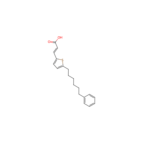 O=C(O)C=Cc1ccc(CCCCCCc2ccccc2)s1